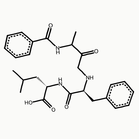 CC(C)C[C@H](NC(=O)[C@H](Cc1ccccc1)NCC(=O)C(C)NC(=O)c1ccccc1)C(=O)O